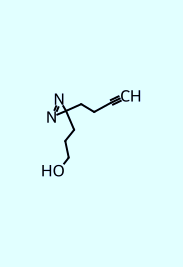 C#CCCC1(CCCO)N=N1